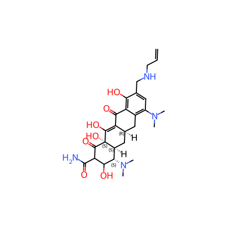 C=CCNCc1cc(N(C)C)c2c(c1O)C(=O)C1=C(O)[C@]3(O)C(=O)C(C(N)=O)C(O)[C@@H](N(C)C)[C@@H]3C[C@@H]1C2